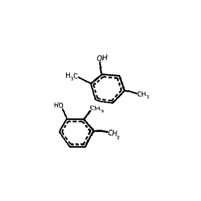 Cc1ccc(C)c(O)c1.Cc1cccc(O)c1C